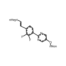 CCCCCCCC=Cc1ccc(-c2ncc(OCCCCCCCCC)cn2)c(F)c1F